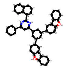 c1ccc(-c2cc(-c3cc(-c4ccc5oc6ccccc6c5c4)cc(-c4ccc5oc6ccccc6c5c4)c3)nc(-c3cccc4ccccc34)n2)cc1